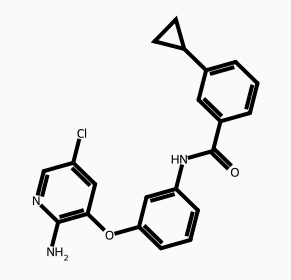 Nc1ncc(Cl)cc1Oc1cccc(NC(=O)c2cccc(C3CC3)c2)c1